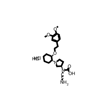 COc1ccc(CCO[C@@H]2CCCC[C@H]2N2CC[C@@H](N(CCN)C(=O)O)C2)cc1OC.Cl.Cl